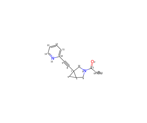 CCCCC(=O)N1CC2CC2(C#Cc2ccccn2)C1